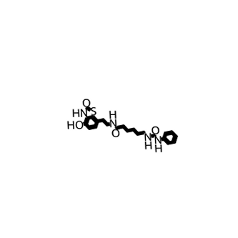 O=C(CCCCCNC(=O)Nc1ccccc1)NCCc1ccc(O)c2[nH]c(=O)sc12